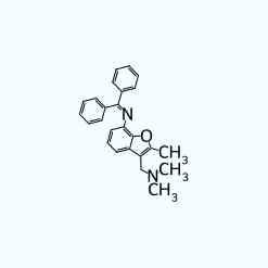 Cc1oc2c(N=C(c3ccccc3)c3ccccc3)cccc2c1CN(C)C